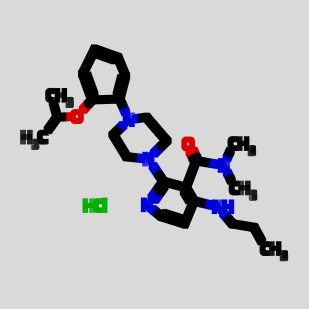 CCCNc1ccnc(N2CCN(c3ccccc3OC(C)C)CC2)c1C(=O)N(C)C.Cl